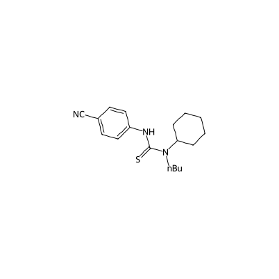 CCCCN(C(=S)Nc1ccc(C#N)cc1)C1CCCCC1